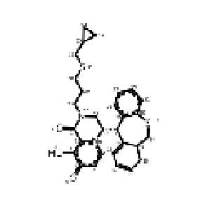 O=C1c2c(O)c(=O)ccn2C([C@H]2C3=CC=CCC3CSc3ccccc32)CN1CCCSCC1CC1